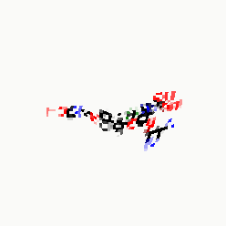 Cc1c(COc2cc(OCc3cncc(C#N)c3)c(CNC(CO)(CO)CO)c(C)c2Cl)cccc1-c1cccc(OCCCN2CCC(O)C2)c1C